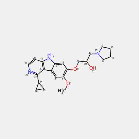 COc1cc2c(cc1OCC(O)CN1CCCC1)[nH]c1ccnc(C3CC3)c12